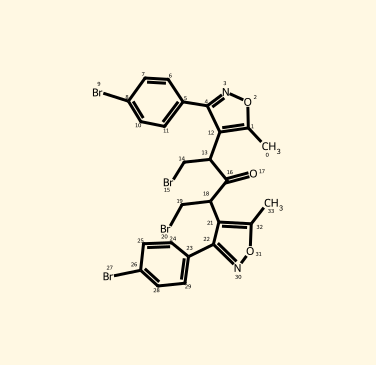 Cc1onc(-c2ccc(Br)cc2)c1C(CBr)C(=O)C(CBr)c1c(-c2ccc(Br)cc2)noc1C